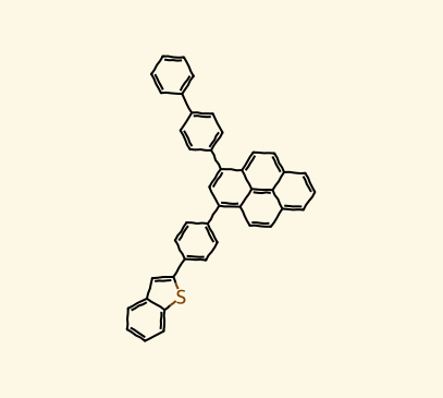 c1ccc(-c2ccc(-c3cc(-c4ccc(-c5cc6ccccc6s5)cc4)c4ccc5cccc6ccc3c4c65)cc2)cc1